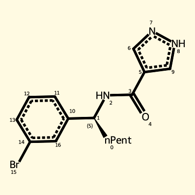 CCCCC[C@H](NC(=O)c1cn[nH]c1)c1cccc(Br)c1